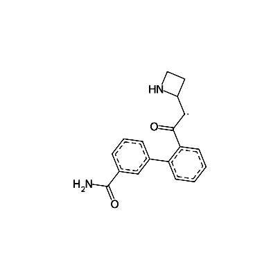 NC(=O)c1cccc(-c2ccccc2C(=O)[CH]C2CCN2)c1